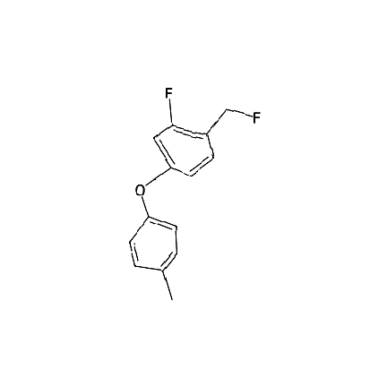 Cc1ccc(Oc2ccc(CF)c(F)c2)cc1